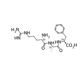 C[C@H](NC(=O)[C@@H](N)CCCNC(=N)N)C(=O)N[C@@H](Cc1ccccc1)C(=O)O